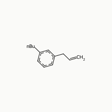 C=CCc1cccc(CCCC)c1